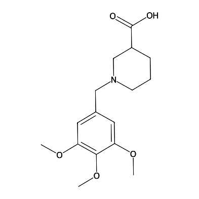 COc1cc(CN2CCCC(C(=O)O)C2)cc(OC)c1OC